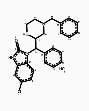 Cl.O=c1[nH]c2cc(Cl)ccc2n1C(c1ccccc1)C1CN(Cc2ccccc2)CCO1